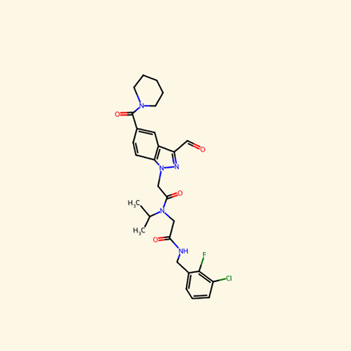 CC(C)N(CC(=O)NCc1cccc(Cl)c1F)C(=O)Cn1nc(C=O)c2cc(C(=O)N3CCCCC3)ccc21